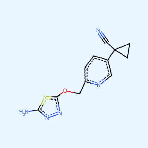 N#CC1(c2ccc(COc3nnc(N)s3)nc2)CC1